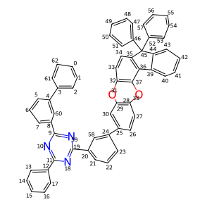 c1ccc(-c2cccc(-c3nc(-c4ccccc4)nc(-c4cccc(-c5ccc6c(c5)Oc5ccc7c(c5O6)-c5ccccc5C7(c5ccccc5)c5ccccc5)c4)n3)c2)cc1